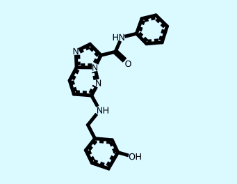 O=C(Nc1ccccc1)c1cnc2ccc(NCc3cccc(O)c3)nn12